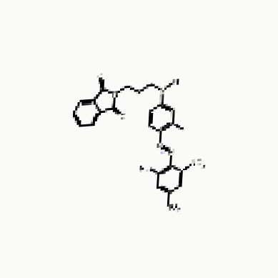 CCN(CCCN1C(=O)c2ccccc2C1=O)c1ccc(/N=N/c2c(C#N)cc([N+](=O)[O-])cc2[N+](=O)[O-])c(C)c1